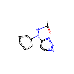 CC(=O)NN(c1ccccc1)c1ccnnn1